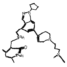 Cc1cc(C)c(CNCc2cc(C3=CCN(CCCN(C)C)CC3)cc3c2cnn3C2CCCC2)c(=O)[nH]1